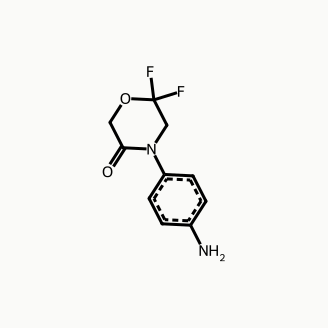 Nc1ccc(N2CC(F)(F)OCC2=O)cc1